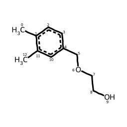 Cc1ccc(COCCO)cc1C